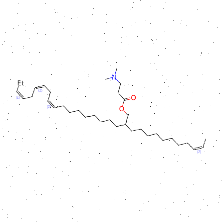 C/C=C\CCCCCCCCC(CCCCCCCC/C=C\C/C=C\C/C=C\CC)COC(=O)CCN(C)C